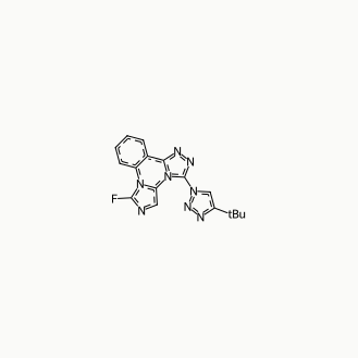 CC(C)(C)c1cn(-c2nnc3c4ccccc4n4c(F)ncc4n23)nn1